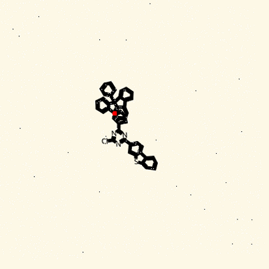 Clc1nc(-c2cccc(-c3ccccc3C3(c4ccccc4)c4ccccc4-c4ccccc43)c2)nc(-c2ccc3c(c2)sc2ccccc23)n1